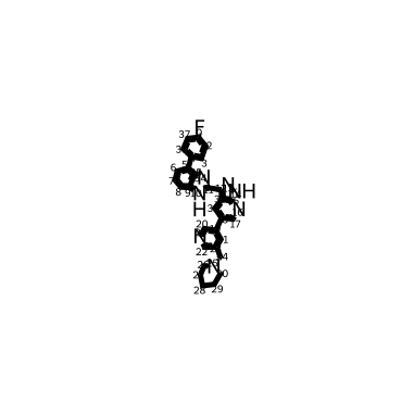 Fc1ccc(-c2cccc3[nH]c(-c4n[nH]c5ncc(-c6cncc(CN7CCCCC7)c6)cc45)nc23)cc1